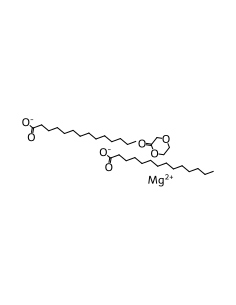 CCCCCCCCCCCCCC(=O)[O-].CCCCCCCCCCCCCC(=O)[O-].O=C1COCCO1.[Mg+2]